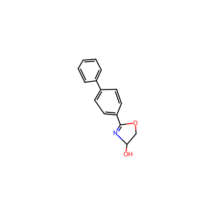 OC1COC(c2ccc(-c3ccccc3)cc2)=N1